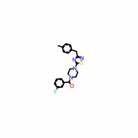 Cc1ccc(Cc2nsc(N3CCN(C(=O)c4cccc(F)c4)CC3)n2)cc1